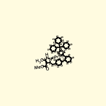 CCCN1NC(C)=C(C(=O)OC)C1Cc1ccc(-c2ccccc2-c2nnn(C(c3ccccc3)(c3ccccc3)c3ccccc3)n2)cc1